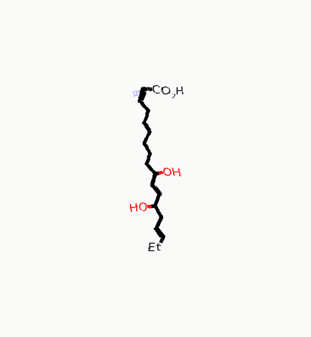 CCC=CCC(O)CCC(O)CCCCCC/C=C\C(=O)O